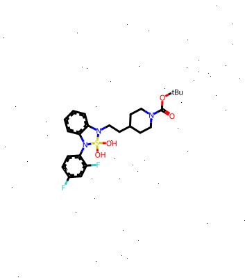 CC(C)(C)OC(=O)N1CCC(CCN2c3ccccc3N(c3ccc(F)cc3F)S2(O)O)CC1